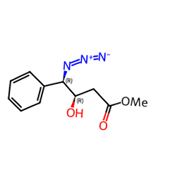 COC(=O)C[C@@H](O)[C@H](N=[N+]=[N-])c1ccccc1